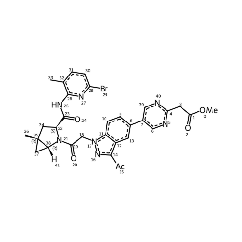 COC(=O)Cc1ncc(-c2ccc3c(c2)c(C(C)=O)nn3CC(=O)N2[C@H](C(=O)Nc3nc(Br)ccc3C)C[C@@]3(C)C[C@@H]23)cn1